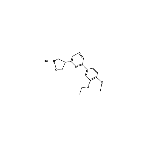 CCOc1cc(-c2cccc(C3COB(O)C3)n2)ccc1OC